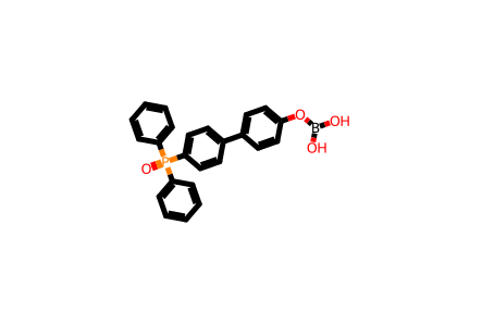 O=P(c1ccccc1)(c1ccccc1)c1ccc(-c2ccc(OB(O)O)cc2)cc1